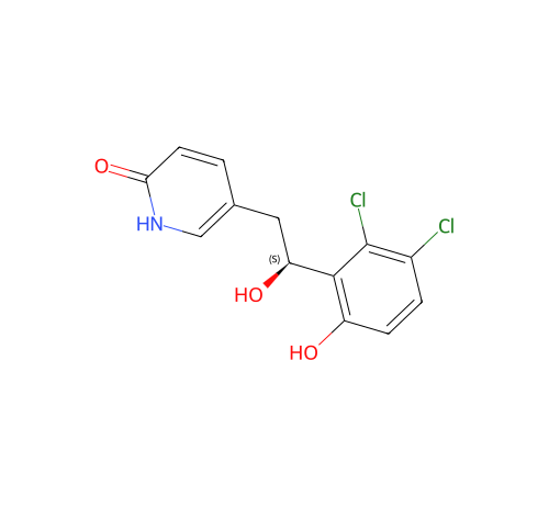 O=c1ccc(C[C@H](O)c2c(O)ccc(Cl)c2Cl)c[nH]1